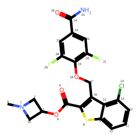 CN1CC(OC(=O)c2sc3cccc(Cl)c3c2COc2c(F)cc(C(N)=O)cc2F)C1